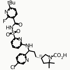 CC(C)(C)c1ccc(C(=O)NS(=O)(=O)c2cccc(NC(CC[C@@H]3CN(C(=O)O)C(C)(C)C3)c3ccc(Cl)cn3)n2)c(F)n1